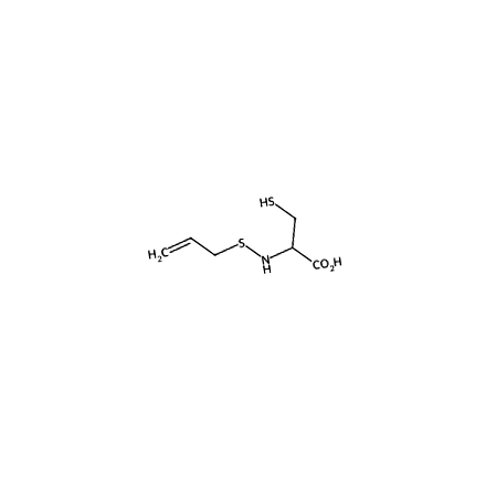 C=CCSNC(CS)C(=O)O